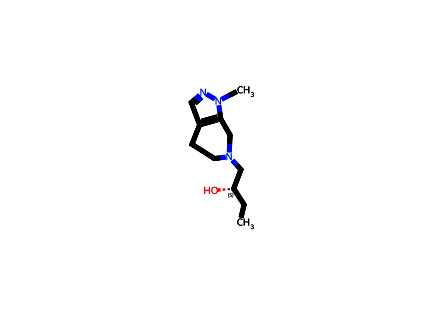 CC[C@H](O)CN1CCc2cnn(C)c2C1